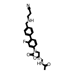 CC(=O)NC[C@H]1CN(c2ccc(-c3ccc(CNCCC#N)cc3)c(F)c2)C(=O)O1